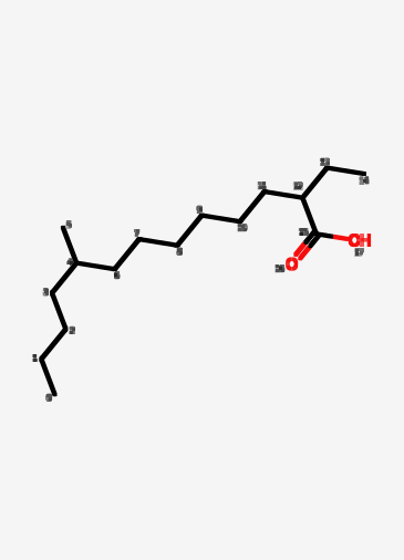 CCCCC(C)CCCCCCC(CC)C(=O)O